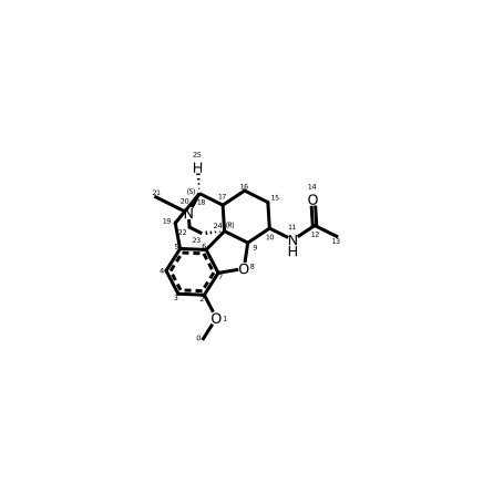 COc1ccc2c3c1OC1C(NC(C)=O)CCC4[C@H](C2)N(C)CC[C@@]314